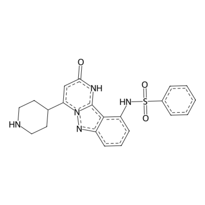 O=c1cc(C2CCNCC2)n2nc3cccc(NS(=O)(=O)c4ccccc4)c3c2[nH]1